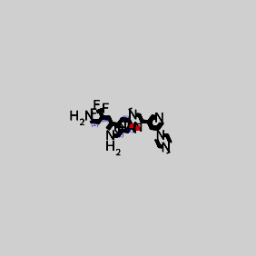 C=C(/C=C(\C=C/N)C(F)(F)F)C(=O)\C=C(/C(F)=C\C=C\N)N(C)CC(N=N)c1cncc(N2CCN(C)CC2)c1